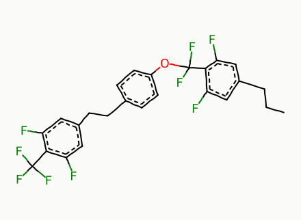 CCCc1cc(F)c(C(F)(F)Oc2ccc(CCc3cc(F)c(C(F)(F)F)c(F)c3)cc2)c(F)c1